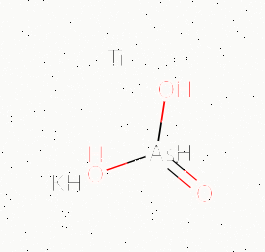 O=[AsH](O)O.[KH].[Ti]